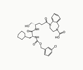 O=C(N[C@@H](CC1CCCCC1)C(=O)N[C@H](CO)CCC(=O)N1CCN(C(=O)O)Cc2ccccc21)OCc1cccc(Cl)c1